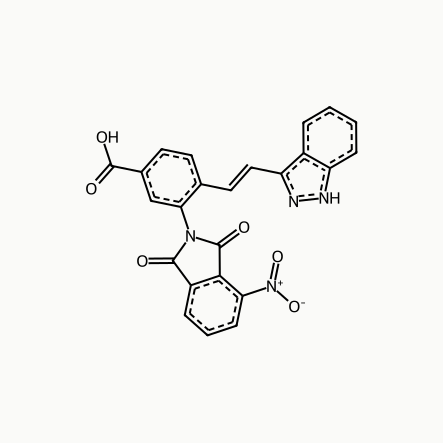 O=C(O)c1ccc(/C=C/c2n[nH]c3ccccc23)c(N2C(=O)c3cccc([N+](=O)[O-])c3C2=O)c1